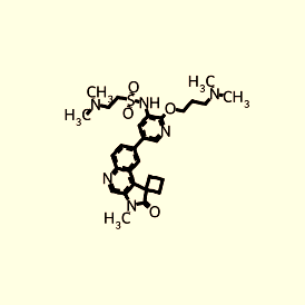 CN(C)CCCOc1ncc(-c2ccc3ncc4c(c3c2)C2(CCC2)C(=O)N4C)cc1NS(=O)(=O)CCN(C)C